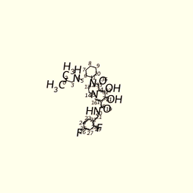 CC(C)CNC[C@@H]1CCCC[C@@H]1N1CCN2C=C(C(=O)NCc3ccc(F)cc3F)C(O)C(O)=C2C1=O